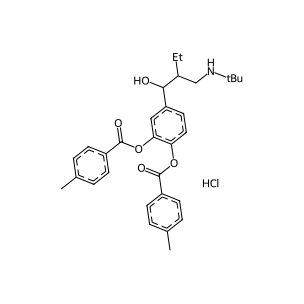 CCC(CNC(C)(C)C)C(O)c1ccc(OC(=O)c2ccc(C)cc2)c(OC(=O)c2ccc(C)cc2)c1.Cl